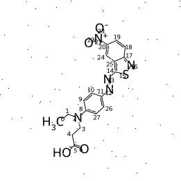 CCN(CCC(=O)O)c1ccc(N=Nc2snc3ccc([N+](=O)[O-])cc23)cc1